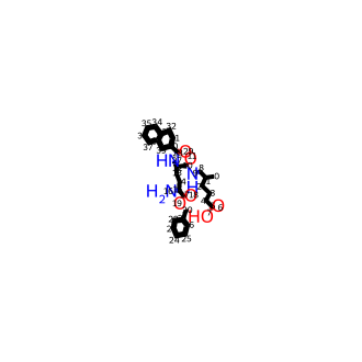 CC(CCCC(=O)O)CNC(=O)C(CCC(N)C(=O)OCc1ccccc1)NC(=O)c1ccc2ccccc2c1